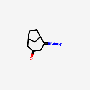 [N-]=[N+]=C1CC(=O)CC2CCC1C2